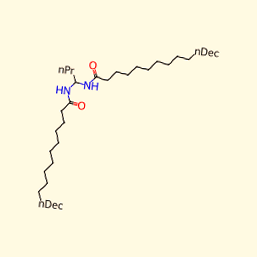 CCCCCCCCCCCCCCCCCCCC(=O)NC(CCC)NC(=O)CCCCCCCCCCCCCCCCCCC